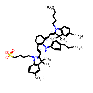 CC1(C)C(/C=C/C2=C(Nc3ccc(CCC(=O)O)cc3)C(=C/C=C3/N(CCCCS(=O)(=O)O)c4ccc(S(=O)(=O)O)cc4C3(C)C)/CCC2)=[N+](CCCCS(=O)(=O)[O-])c2ccc(S(=O)(=O)O)cc21